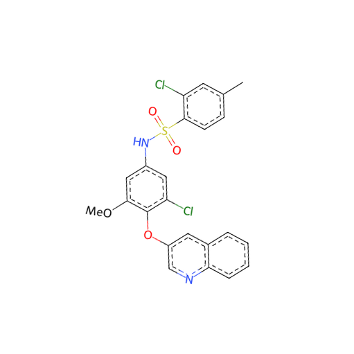 COc1cc(NS(=O)(=O)c2ccc(C)cc2Cl)cc(Cl)c1Oc1cnc2ccccc2c1